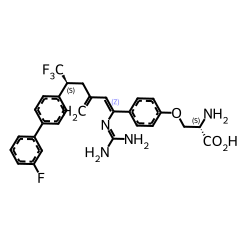 C=C(/C=C(\N=C(N)N)c1ccc(OC[C@H](N)C(=O)O)cc1)C[C@@H](c1ccc(-c2cccc(F)c2)cc1)C(F)(F)F